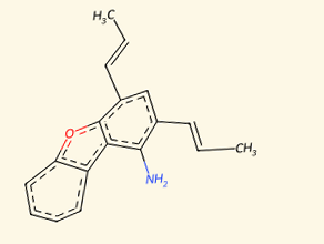 CC=Cc1cc(C=CC)c2oc3ccccc3c2c1N